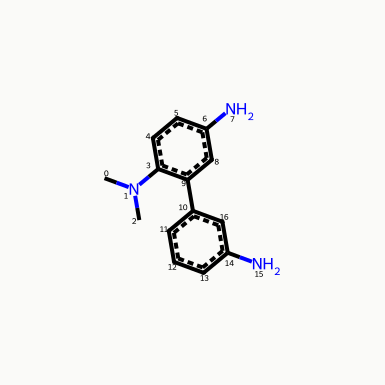 CN(C)c1ccc(N)cc1-c1cccc(N)c1